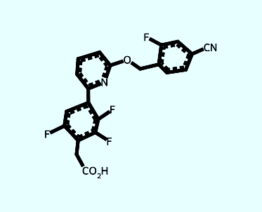 N#Cc1ccc(COc2cccc(-c3cc(F)c(CC(=O)O)c(F)c3F)n2)c(F)c1